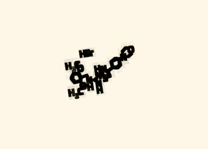 Br.COc1cccc(OC)c1CNC(=N)Nc1nc(-c2ccc(N3CCOCC3)cc2)cs1